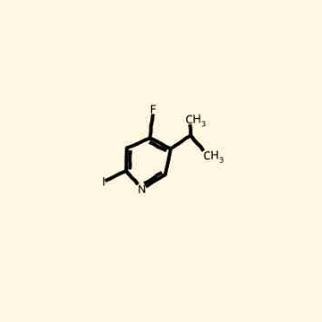 CC(C)c1cnc(I)cc1F